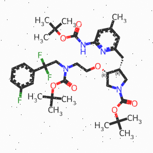 Cc1cc(C[C@@H]2CN(C(=O)OC(C)(C)C)C[C@@H]2OCCN(CC(F)(F)c2cccc(F)c2)C(=O)OC(C)(C)C)nc(NC(=O)OC(C)(C)C)c1